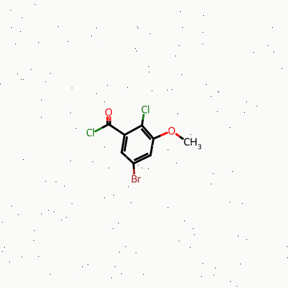 COc1cc(Br)cc(C(=O)Cl)c1Cl